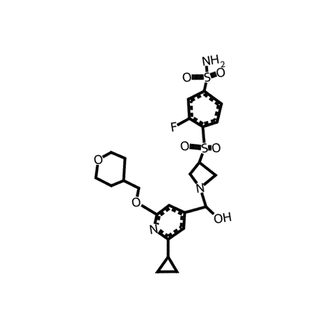 NS(=O)(=O)c1ccc(S(=O)(=O)C2CN(C(O)c3cc(OCC4CCOCC4)nc(C4CC4)c3)C2)c(F)c1